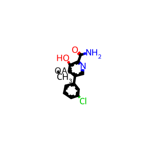 COC(C)=O.NC(=O)c1ncc(-c2cccc(Cl)c2)cc1O